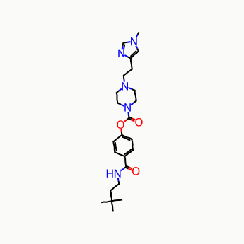 Cn1cnc(CCN2CCN(C(=O)Oc3ccc(C(=O)NCCC(C)(C)C)cc3)CC2)c1